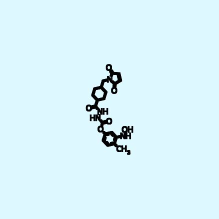 Cc1ccc(OC(=O)NNC(=O)C2CCC(CN3C(=O)C=CC3=O)CC2)cc1NO